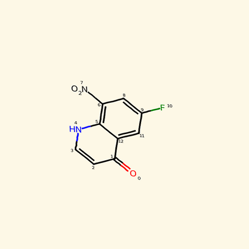 O=c1cc[nH]c2c([N+](=O)[O-])cc(F)cc12